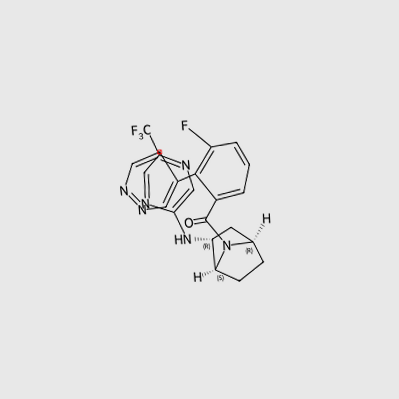 O=C(c1cccc(F)c1-c1ccnnc1)N1[C@@H]2CC[C@H]1[C@H](Nc1cnc(C(F)(F)F)cn1)C2